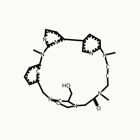 CN1CCCN(C)c2ccc(cn2)-c2ccnc(n2)N(C)c2cccc(c2)CN2CCN(CC1=O)C(CO)C2